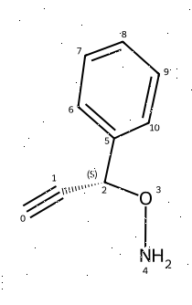 C#C[C@@H](ON)c1ccccc1